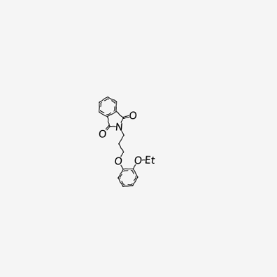 CCOc1ccccc1OCCCN1C(=O)c2ccccc2C1=O